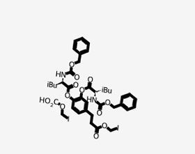 CC[C@H](C)[C@H](NC(=O)OCc1ccccc1)C(=O)Oc1ccc(CCC(=O)OCI)cc1OC(=O)[C@@H](NC(=O)OCc1ccccc1)[C@@H](C)CC.O=C(O)OCI